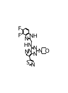 Fc1ccc2[nH]c(CNc3nc(N4CCOCC4)nc4c(-c5cncs5)cnn34)nc2c1F